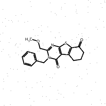 COCc1nc2sc3c(c2c(=O)n1Cc1ccccc1)CCCC3=O